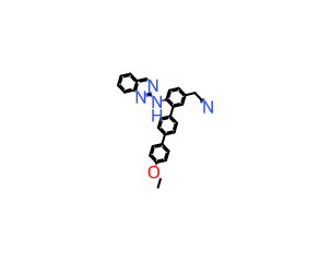 CCOc1ccc(-c2ccc(-c3cc(CC#N)ccc3Nc3ncc4ccccc4n3)cc2)cc1